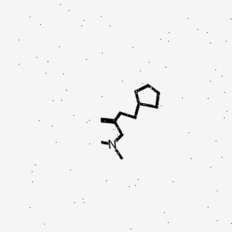 C=C(CCC1CCCC1)CN(C)C